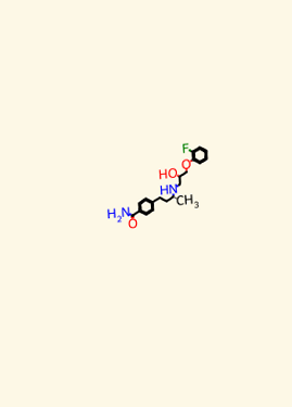 C[C@H](CCc1ccc(C(N)=O)cc1)NCC(O)COc1ccccc1F